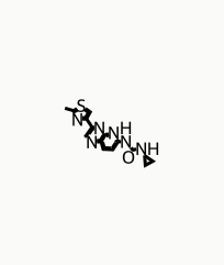 Cc1nc(-c2cnc3ccc(NC(=O)NC4CC4)nc3n2)cs1